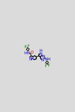 O=C(NC1CC(F)(F)C1)c1cnn2ccc(-c3c[nH]c4nc(NC5CC(F)(F)C5)ncc34)cc12